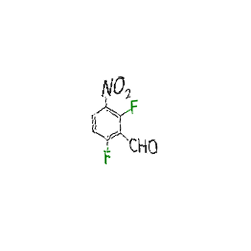 O=Cc1c(F)ccc([N+](=O)[O-])c1F